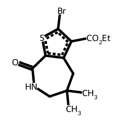 CCOC(=O)c1c(Br)sc2c1CC(C)(C)CNC2=O